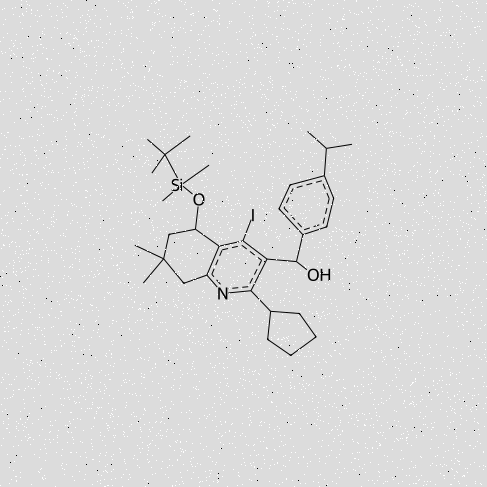 CC(C)c1ccc(C(O)c2c(C3CCCC3)nc3c(c2I)C(O[Si](C)(C)C(C)(C)C)CC(C)(C)C3)cc1